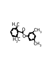 Cc1cc(C)cc(OC(=O)c2c(C)cccc2C)c1